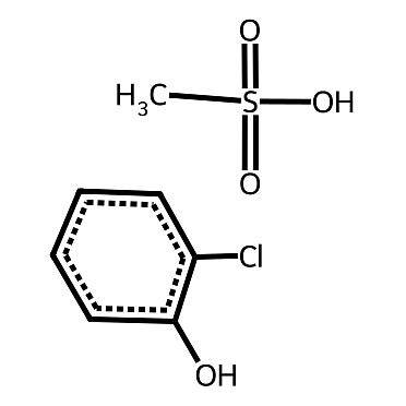 CS(=O)(=O)O.Oc1ccccc1Cl